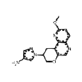 COc1ccc2ncc3c(c2n1)CC(n1cc(N)cn1)CO3